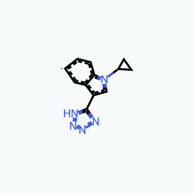 [c]1ccc2c(c1)c(-c1nnn[nH]1)cn2C1CC1